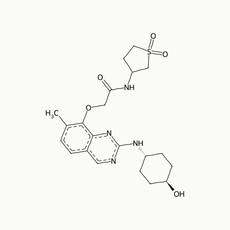 Cc1ccc2cnc(N[C@H]3CC[C@H](O)CC3)nc2c1OCC(=O)NC1CCS(=O)(=O)C1